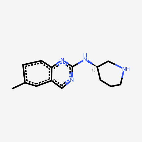 Cc1ccc2nc(N[C@@H]3CCCNC3)ncc2c1